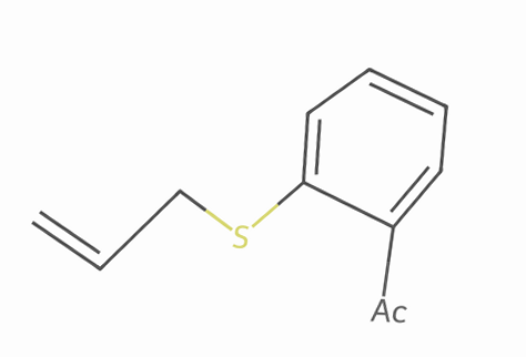 C=CCSc1ccccc1C(C)=O